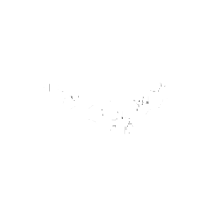 Cc1ccc(-c2ccc3c(c2)CCN(C(=O)c2cc4ccc(Cl)cn4n2)C3C)o1